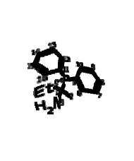 CCC(C)(N)P(c1ccccc1)c1ccccc1